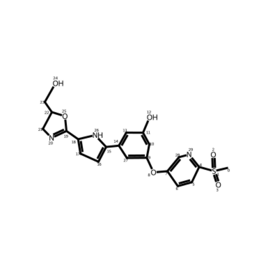 CS(=O)(=O)c1ccc(Oc2cc(O)cc(-c3ccc(C4=NCC(CO)O4)[nH]3)c2)cn1